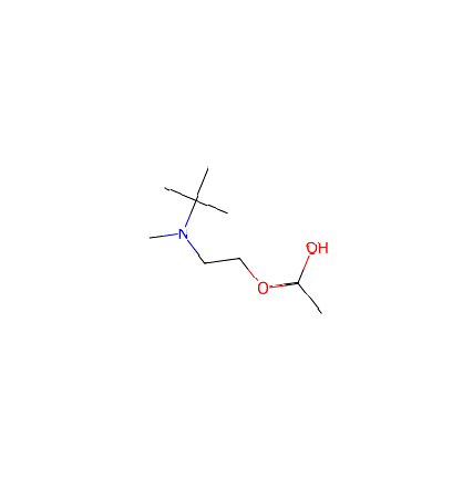 CC(O)OCCN(C)C(C)(C)C